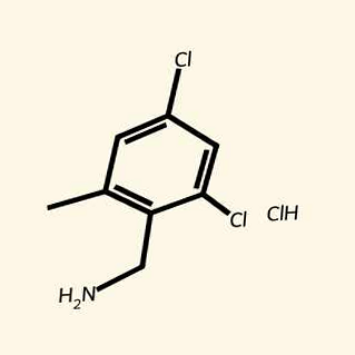 Cc1cc(Cl)cc(Cl)c1CN.Cl